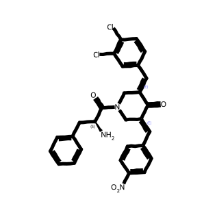 N[C@@H](Cc1ccccc1)C(=O)N1C/C(=C\c2ccc([N+](=O)[O-])cc2)C(=O)/C(=C/c2ccc(Cl)c(Cl)c2)C1